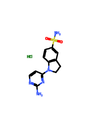 Cl.Nc1nccc(N2CCc3cc(S(N)(=O)=O)ccc32)n1